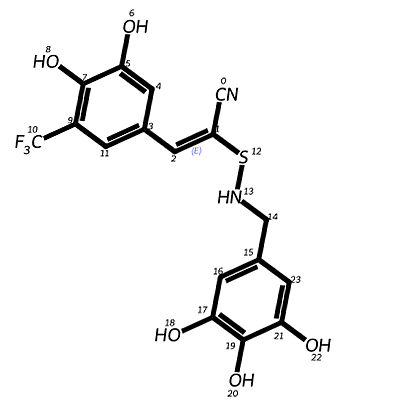 N#C/C(=C\c1cc(O)c(O)c(C(F)(F)F)c1)SNCc1cc(O)c(O)c(O)c1